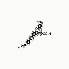 CCCCOc1ccc(C(=O)N[C@@H](Cc2ccc(-c3ncc(-c4ccc(OCCCC(C)C)cc4)cn3)cc2)C(=O)N2CC(C(=O)O)C2)cc1